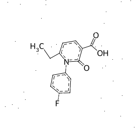 CCc1ccc(C(=O)O)c(=O)n1-c1ccc(F)cc1